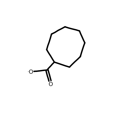 [O]C(=O)C1CCCCCCC1